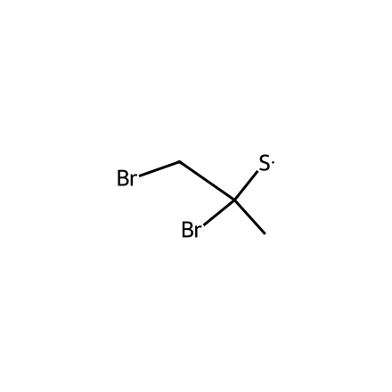 CC([S])(Br)CBr